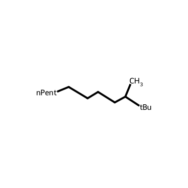 CCCCCCCCCC(C)C(C)(C)C